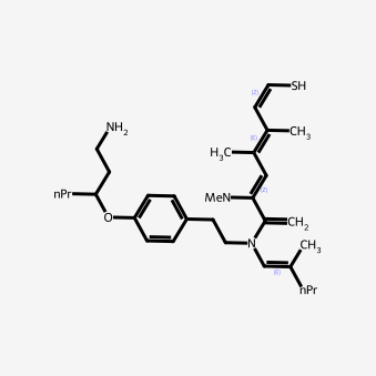 C=C(/C(=C/C(C)=C(C)/C=C\S)NC)N(/C=C(\C)CCC)CCc1ccc(OC(CCC)CCN)cc1